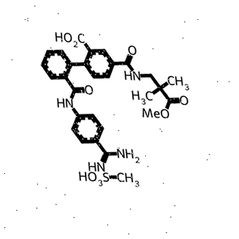 COC(=O)C(C)(C)CNC(=O)c1ccc(-c2ccccc2C(=O)Nc2ccc(C(=N)N)cc2)c(C(=O)O)c1.CS(=O)(=O)O